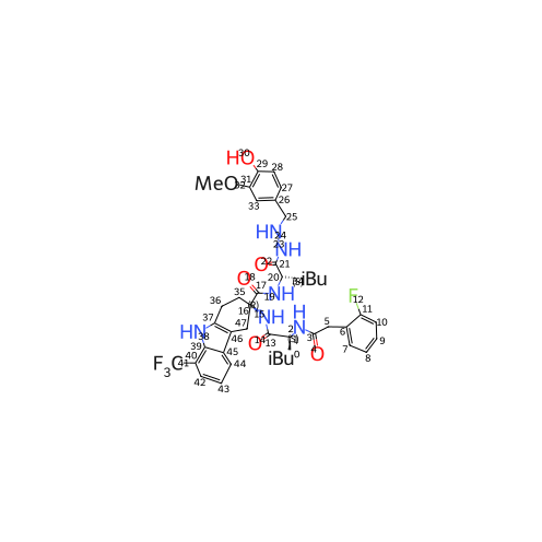 CCC(C)[C@H](NC(=O)Cc1ccccc1F)C(=O)N[C@]1(C(=O)NC(C(=O)NNCc2ccc(O)c(OC)c2)[C@@H](C)CC)CCc2[nH]c3c(C(F)(F)F)cccc3c2C1